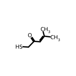 CC(C)=CC(=O)CS